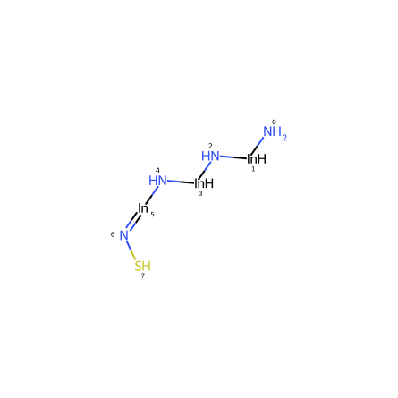 [NH2][InH][NH][InH][NH][In]=[N]S